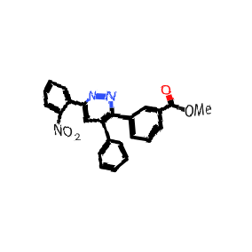 COC(=O)c1cccc(-c2nnc(-c3ccccc3[N+](=O)[O-])cc2-c2ccccc2)c1